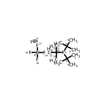 Br.CC(C)(C)P(C(C)(C)C)C(C)(C)C.F[B-](F)(F)F